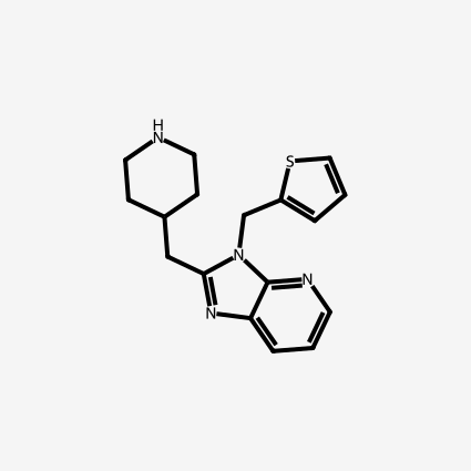 c1csc(Cn2c(CC3CCNCC3)nc3cccnc32)c1